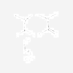 CN(C)C(=S)[S-].CN(C)C(=S)[S-].O[SiH3].[Cu+2]